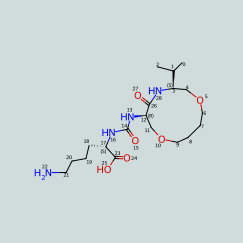 CC(C)[C@H]1COCCCCOC[C@@H](NC(=O)N[C@@H](CCCCN)C(=O)O)C(=O)N1